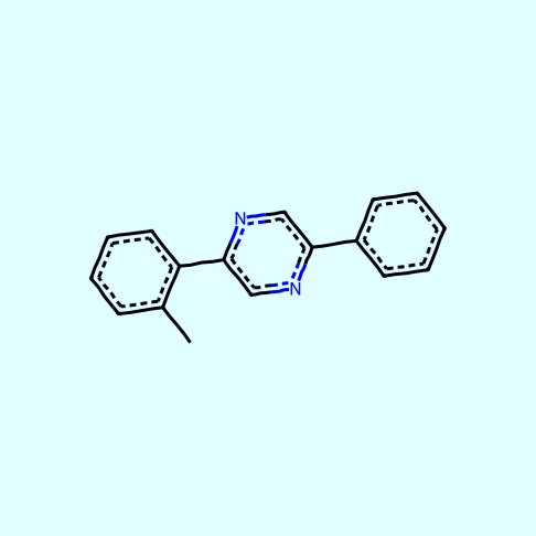 Cc1ccccc1-c1cnc(-c2ccccc2)cn1